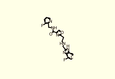 O=C(NCc1ncccc1F)c1coc(CCNCc2nc3c(F)cccc3[nH]2)n1